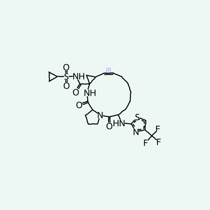 O=C1NC2(C(=O)NS(=O)(=O)C3CC3)CC2/C=C\CCCCCC(Nc2nc(C(F)(F)F)cs2)C(=O)N2CCCC12